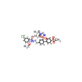 COc1ccc(Cl)cc1C(=O)NCCc1ccc(-c2ccc(S(C)(=O)=O)cc2)c(S(=O)(=O)/N=C\N(C)C)c1